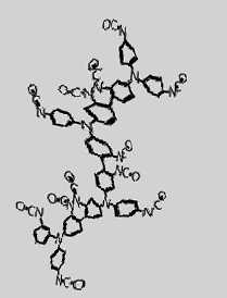 O=C=Nc1ccc(N(c2ccc(N=C=O)cc2)c2ccc(-c3ccc(N(c4ccc(N=C=O)cc4)c4ccc(-c5ccc(N(c6ccc(N=C=O)cc6)c6ccc(-c7ccc(N(c8ccc(N=C=O)cc8)c8cccc(N=C=O)c8)cc7N=C=O)c(N=C=O)c6)cc5N=C=O)c(N=C=O)c4)cc3N=C=O)c(N=C=O)c2)cc1